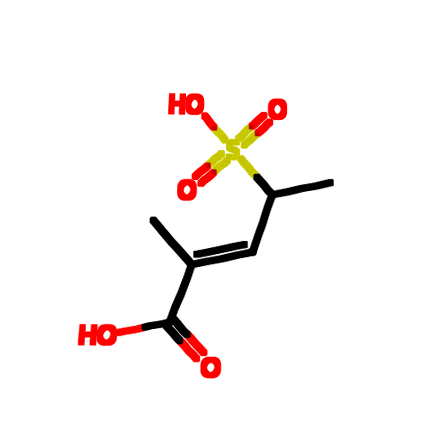 C/C(=C\C(C)S(=O)(=O)O)C(=O)O